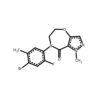 Cc1cc(N2CCOc3cnn(C)c3C2=O)c(F)cc1Br